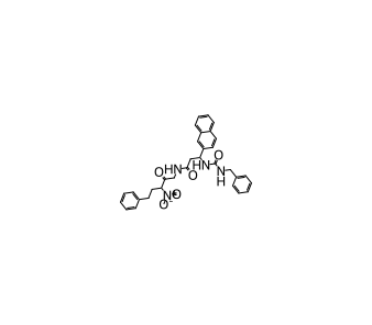 O=C(CC(NC(=O)NCc1ccccc1)c1ccc2ccccc2c1)NCC(=O)C(CCc1ccccc1)[N+](=O)[O-]